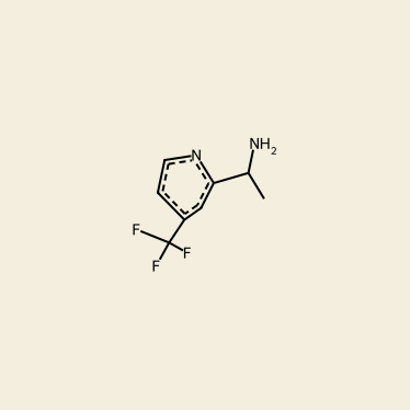 CC(N)c1cc(C(F)(F)F)ccn1